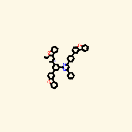 C=Cc1oc2ccccc2c1/C=C(\C)c1cc(-c2ccc3oc4ccccc4c3c2)cc(-c2nc(-c3ccccc3)cc(-c3ccc(-c4ccc5oc6ccccc6c5c4)cc3)n2)c1